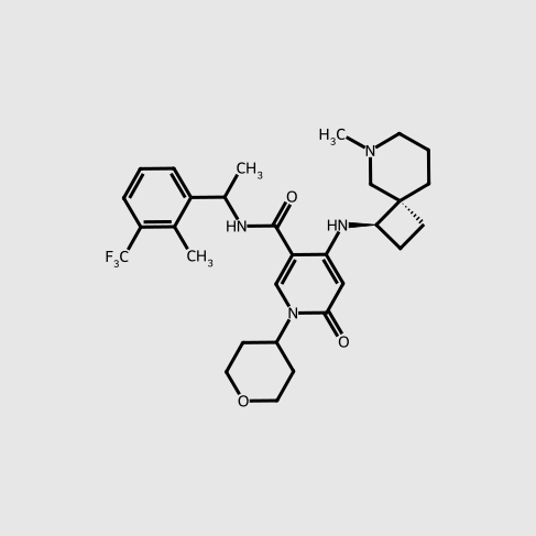 Cc1c(C(C)NC(=O)c2cn(C3CCOCC3)c(=O)cc2N[C@@H]2CC[C@]23CCCN(C)C3)cccc1C(F)(F)F